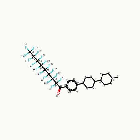 CC1CCC(C2CCC(c3ccc(C(=O)C(F)(F)C(F)(F)C(F)(F)C(F)(F)C(F)(F)C(F)(F)C(F)(F)C(F)(F)F)cc3)CC2)CC1